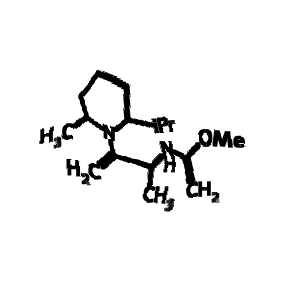 C=C(NC(C)C(=C)N1C(C)CCCC1C(C)C)OC